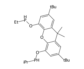 CCPOc1cc(C(C)(C)C)cc2c1Oc1c(OPC(C)C)cc(C(C)(C)C)cc1C2(C)C